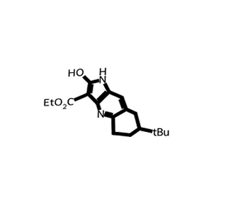 CCOC(=O)c1c(O)[nH]c2cc3c(nc12)CCC(C(C)(C)C)C3